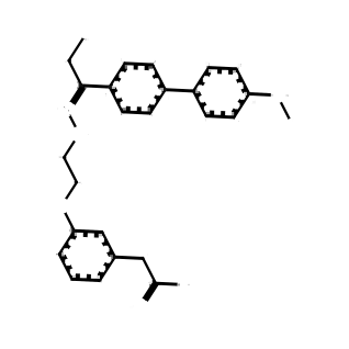 CCC(=NOCCOc1cccc(CC(=O)O)c1)c1ccc(-c2ccc(OC)cc2)cc1